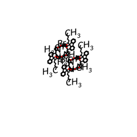 CCCCCCC1(CCCCCC)c2ccccc2-c2cccc(C3=C4C=CC(=N4)C(Br)=C4C=CC(=N4)C(c4cccc5c4C(CCCCCC)(CCCCCC)c4ccccc4-5)=C4C=CC(=N4)C(Br)=C4C=CC3=N4)c21.CCCCCCC1(CCCCCC)c2ccccc2-c2cccc(C3=C4C=CC(=N4)C=C4C=CC(=N4)C(c4cccc5c4C(CCCCCC)(CCCCCC)c4ccccc4-5)=C4C=CC(=N4)C=C4C=CC3=N4)c21